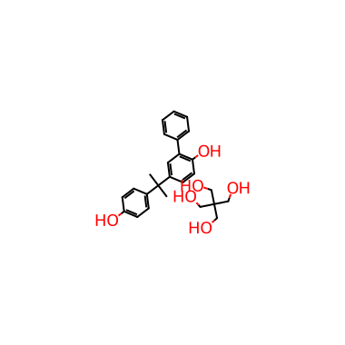 CC(C)(c1ccc(O)cc1)c1ccc(O)c(-c2ccccc2)c1.OCC(CO)(CO)CO